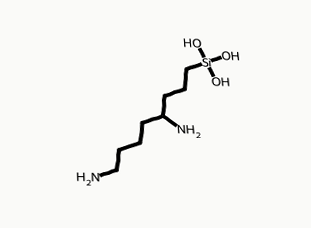 NCCCCC(N)CCC[Si](O)(O)O